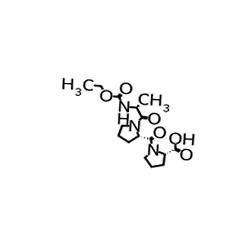 CCOC(=O)N[C@@H](C)C(=O)N1CCC[C@H]1C(=O)N1CCC[C@H]1C(=O)O